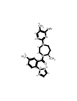 CCCc1nc(N2CC[C@@H](C)N(C(=O)c3cc(C)ccc3-n3nccn3)CC2)ncc1C